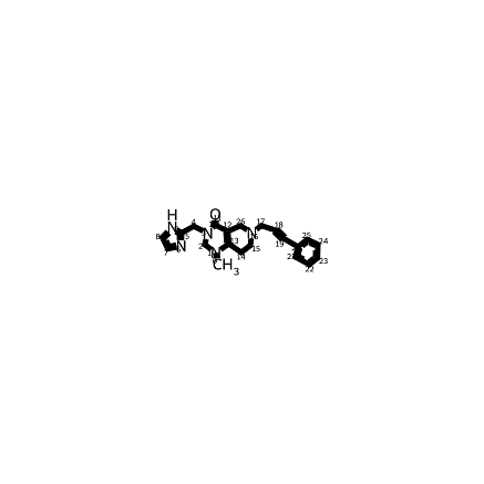 CN1CN(Cc2ncc[nH]2)C(=O)C2=C1CCN(CC#Cc1ccccc1)C2